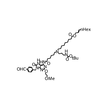 CCCCCC/C=C/COC(=O)CCCCCCCCN(CCCCCC(=O)Nc1nc(OCCOC)nc2c1[nH]c(=O)n2Cc1ccc(C=O)cc1)CCCNC(=O)OC(C)(C)C